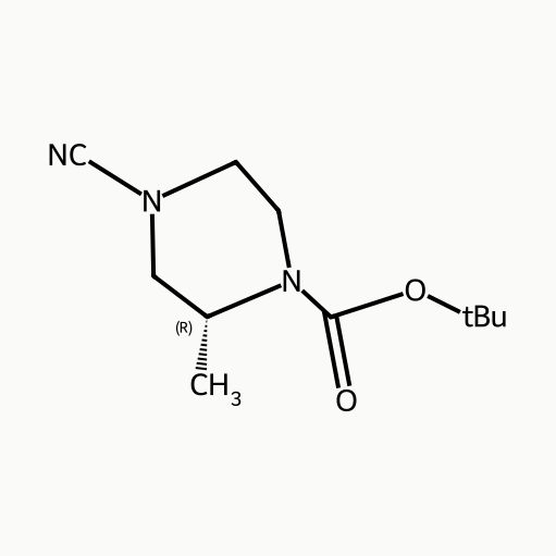 C[C@@H]1CN(C#N)CCN1C(=O)OC(C)(C)C